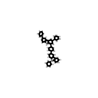 c1ccc(-c2ccc3sc4c(-c5ccc(-c6ccc7c(c6)c6ccccc6n7-c6ccccc6)cc5)cc(-c5ccccc5)cc4c3c2)cc1